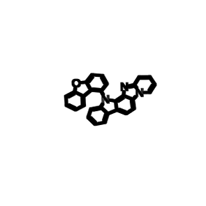 c1ccc2c(c1)oc1cccc(-n3c4ccccc4c4ccc5c(nc6ccccn65)c43)c12